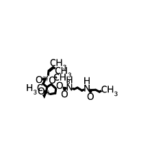 CCCC(=O)NCCCNC(=O)OC1CC[C@]2(CO2)C(C2(C)O[C@@H]2CC=C(C)C)C1OC